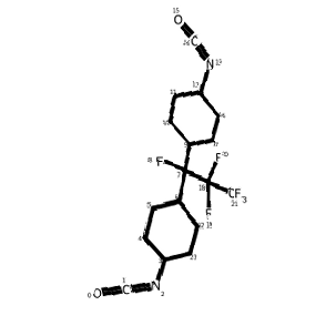 O=C=NC1CCC(C(F)(C2CCC(N=C=O)CC2)C(F)(F)C(F)(F)F)CC1